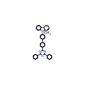 CC12C=CC=CC1c1ccccc1N2c1ccc(-c2ccc(-c3nc(-c4ccccc4)nc(-c4ccccc4)n3)cc2)cc1